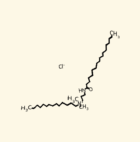 CCCCCCCCCCCCCCCCCC(=O)NCCC[N+](C)(C)CCCCCCCCCCCCCC.[Cl-]